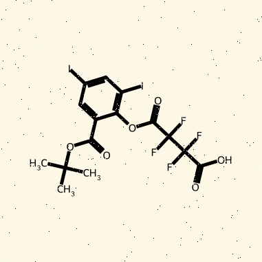 CC(C)(C)OC(=O)c1cc(I)cc(I)c1OC(=O)C(F)(F)C(F)(F)C(=O)O